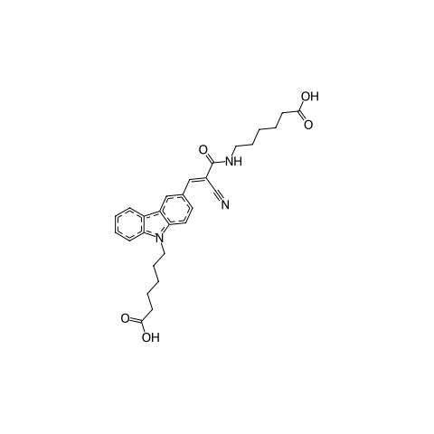 N#C/C(=C\c1ccc2c(c1)c1ccccc1n2CCCCCC(=O)O)C(=O)NCCCCCC(=O)O